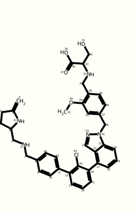 C=C1CCC(CNCc2ccc(-c3cccc(-c4cccc5c4cnn5Cc4ccc(CNC(CO)C(=O)O)c(OC)c4)c3Cl)cc2)N1